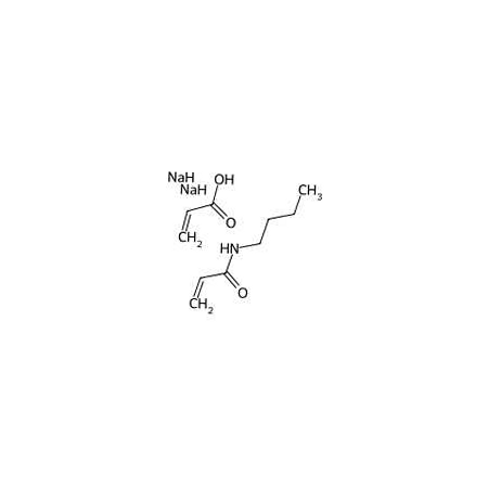 C=CC(=O)NCCCC.C=CC(=O)O.[NaH].[NaH]